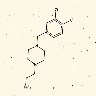 NCCN1CCN(Cc2ccc(Cl)c(Cl)c2)CC1